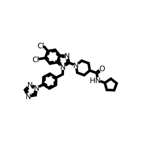 O=C(NC1CCCC1)C1CCN(c2nc3cc(Cl)c(Cl)cc3n2Cc2ccc(-n3cncn3)cc2)CC1